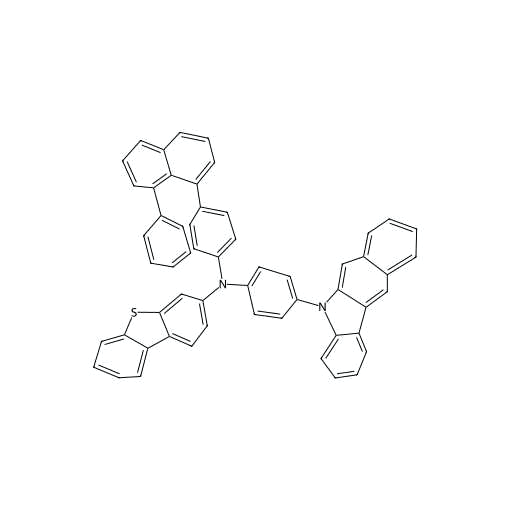 c1ccc(-c2cccc3cccc(-c4ccc(N(c5ccc(-n6c7ccccc7c7cc8ccccc8cc76)cc5)c5ccc6c(c5)sc5ccccc56)cc4)c23)cc1